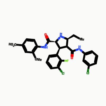 COc1cc(C(=O)O)ccc1NC(=O)[C@@H]1N[C@@H](CC(C)(C)C)C(C(=O)Nc2cccc(Cl)c2)[C@H]1c1cccc(Cl)c1F